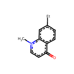 CCc1ccc2c(=O)ccn(C)c2c1